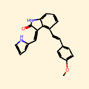 COc1ccc(C=Cc2cccc3c2C(=Cc2ccc[nH]2)C(=O)N3)cc1